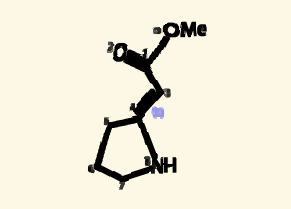 COC(=O)/C=C1\CCCN1